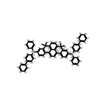 CC1(C)c2cc(N(c3ccccc3)c3ccc(-c4ccccc4)cc3)ccc2-c2ccc3c4c(ccc1c24)C(C)(C)c1cc(N(c2ccccc2)c2ccc(-c4ccccc4)cc2)ccc1-3